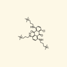 C[N+](C)(C)CCCNc1ccc(Cl)c2c1C(=O)c1c(NCCC[N+](C)(C)C)ccc(NCCC[N+](C)(C)C)c1C2=O